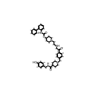 O=C(Nc1ccccc1-c1ccccc1)OC1CCN(CCNCC(=O)c2ccc(CN3CCC(C(=O)NCc4ccc(O)cc4)CC3)cc2)CC1